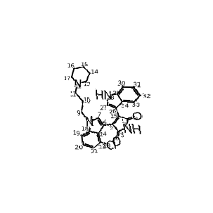 O=C1NC(=O)C(c2cn(CCCN3CCCCC3)c3cccc(Cl)c23)=C1c1c[nH]c2ccccc12